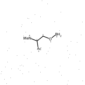 BOCC(NC)C(C)=O